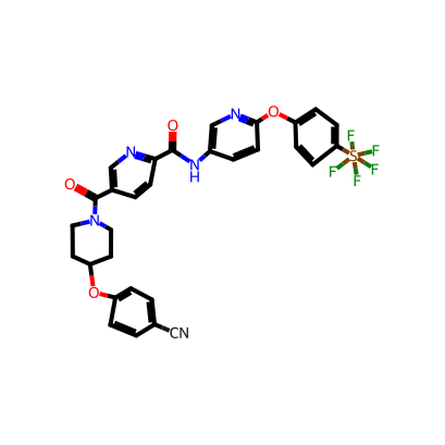 N#Cc1ccc(OC2CCN(C(=O)c3ccc(C(=O)Nc4ccc(Oc5ccc(S(F)(F)(F)(F)F)cc5)nc4)nc3)CC2)cc1